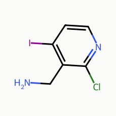 NCc1c(I)ccnc1Cl